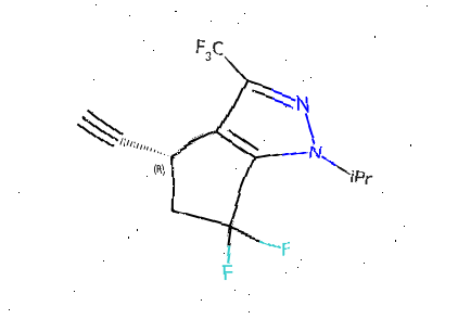 C#C[C@H]1CC(F)(F)c2c1c(C(F)(F)F)nn2C(C)C